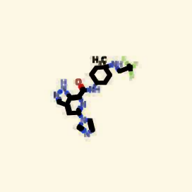 C[C@]1(NCC(F)(F)F)CC[C@@H](NC(=O)c2nc(-n3ccnc3)cc3cn[nH]c23)CC1